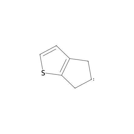 [C]1Cc2ccsc2C1